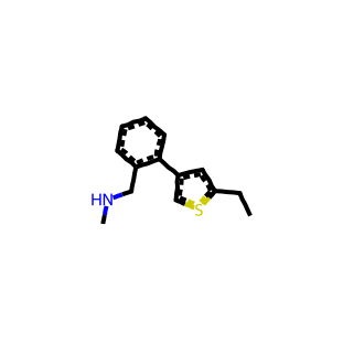 CCc1cc(-c2ccccc2CNC)cs1